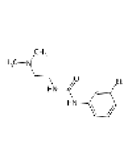 CCc1cccc(NC(=O)NCCN(C)C)c1